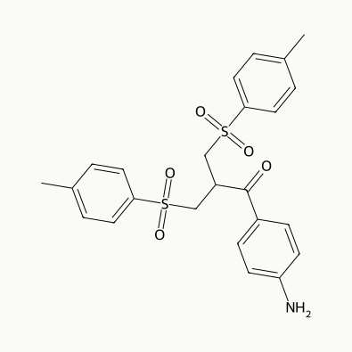 Cc1ccc(S(=O)(=O)CC(CS(=O)(=O)c2ccc(C)cc2)C(=O)c2ccc(N)cc2)cc1